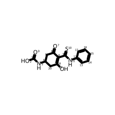 O=C(O)NC1CC(=O)C(C(=S)Nc2ccccc2)=C(O)C1